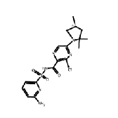 C[C@@H]1CN(c2cnc(C(=O)NS(=O)(=O)c3cccc(N)n3)c(Cl)n2)C(C)(C)C1